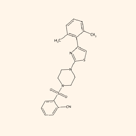 Cc1cccc(C)c1-c1csc(N2CCN(S(=O)(=O)c3ccccc3C#N)CC2)n1